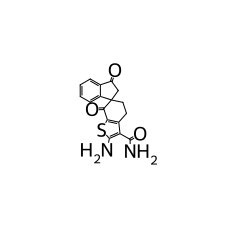 NC(=O)c1c(N)sc2c1CCC1(CC(=O)c3ccccc31)C2=O